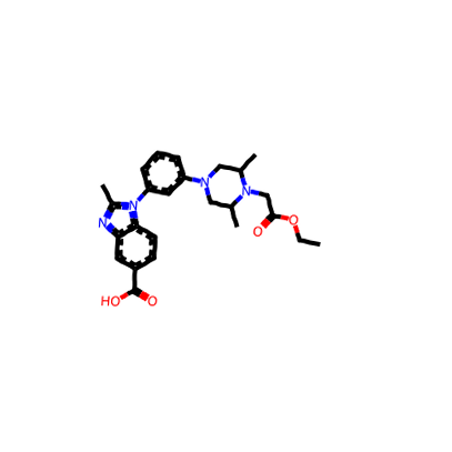 CCOC(=O)CN1C(C)CN(c2cccc(-n3c(C)nc4cc(C(=O)O)ccc43)c2)CC1C